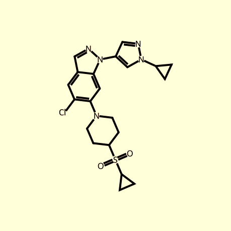 O=S(=O)(C1CC1)C1CCN(c2cc3c(cnn3-c3cnn(C4CC4)c3)cc2Cl)CC1